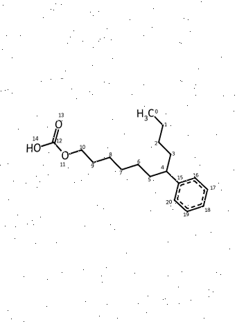 CCCCC(CCCCCCOC(=O)O)c1ccccc1